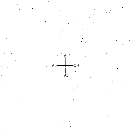 CC(=O)C(O)(C(C)=O)C(C)=O